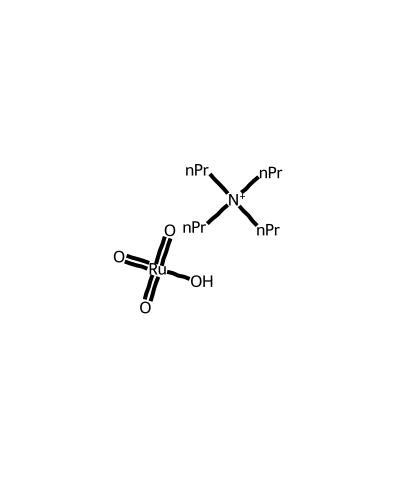 CCC[N+](CCC)(CCC)CCC.[O]=[Ru](=[O])(=[O])[OH]